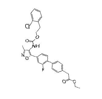 CCOC(=O)Cc1ccc(-c2ccc(-c3onc(C)c3NC(=O)OCCc3ccccc3Cl)cc2F)cc1